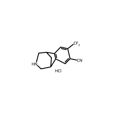 Cl.N#Cc1cc2c(cc1C(F)(F)F)C1CNCC2C1